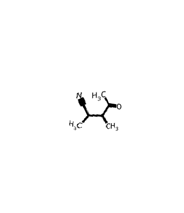 CC(=O)C(C)C(C)C#N